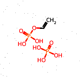 C=COP(=O)(O)O.O=P(O)(O)O